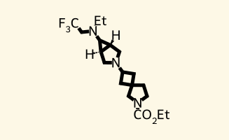 CCOC(=O)N1CCC2(CC(N3C[C@H]4C(N(CC)CC(F)(F)F)[C@@H]4C3)C2)C1